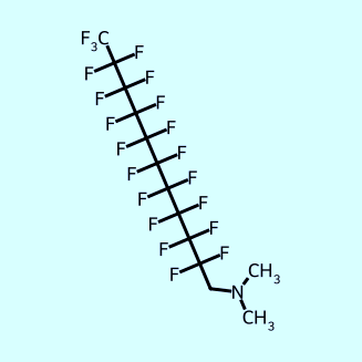 CN(C)CC(F)(F)C(F)(F)C(F)(F)C(F)(F)C(F)(F)C(F)(F)C(F)(F)C(F)(F)C(F)(F)C(F)(F)F